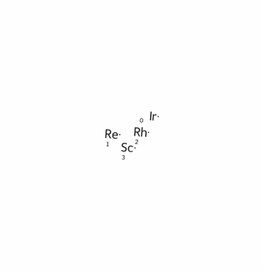 [Ir].[Re].[Rh].[Sc]